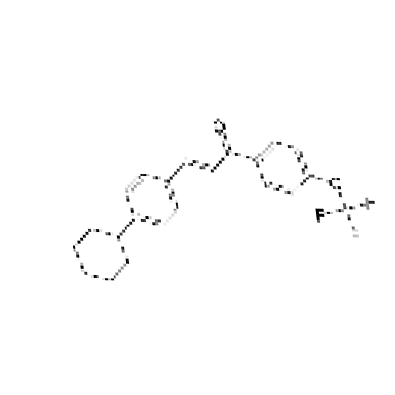 O=C(C=Cc1ccc(C2CCCCC2)cc1)c1ccc(OC(F)(F)F)cc1